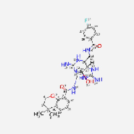 CC1(C)CCOc2c(C(=O)NC3CN4C(=N)N[C@@H](CNC(=O)c5ccc(F)cc5)[C@@H]5NC(=N)N[C@@]54[C@@H]3O)cccc21